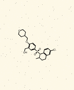 CC1CCc2cc(Cl)ccc2N1S(=O)(=O)c1ccc(OCC2CCOCC2)c(CO)c1